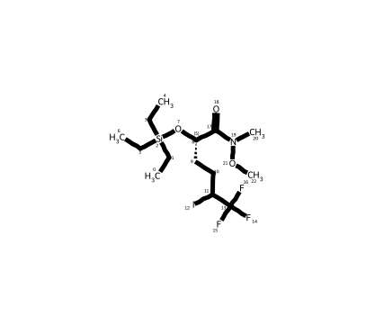 CC[Si](CC)(CC)O[C@@H](CCC(I)C(F)(F)F)C(=O)N(C)OC